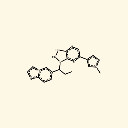 CCC(c1ccc2nccn2c1)N1NNc2ncc(-c3cnn(C)c3)nc21